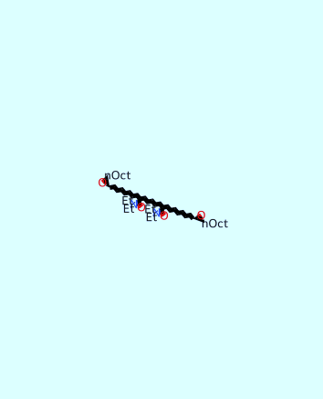 CCCCCCCC[C@H]1O[C@H]1CCCCCCCCC(CCCCCC(CCCCCCCC[C@@H]1O[C@@H]1CCCCCCCC)C(=O)N(CC)CC)C(=O)N(CC)CC